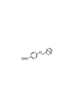 O=Cc1ccc(OCC2CC3C=CC2CC3)cc1